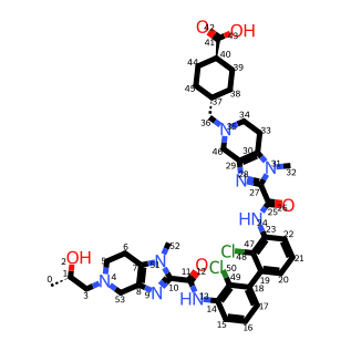 C[C@H](O)CN1CCc2c(nc(C(=O)Nc3cccc(-c4cccc(NC(=O)c5nc6c(n5C)CCN(C[C@H]5CC[C@H](C(=O)O)CC5)C6)c4Cl)c3Cl)n2C)C1